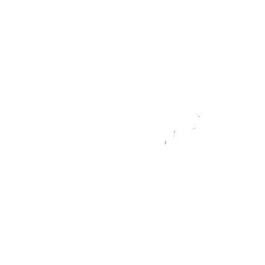 C=C(CCCCCCCCCCCCCC)C(=O)OC(C=C(C)C(=O)O)C1CCCO1